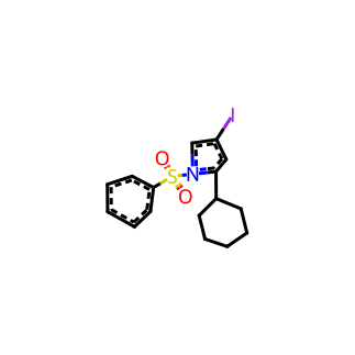 O=S(=O)(c1ccccc1)n1cc(I)cc1C1CCCCC1